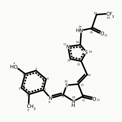 Cc1cc(O)ccc1/N=C1/NC(=O)/C(=C/c2cnc(NC(=O)CC(F)(F)F)s2)S1